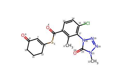 Cc1c(C(=O)SC2=CC(=O)CCC2)ccc(Cl)c1-n1nnn(C)c1=O